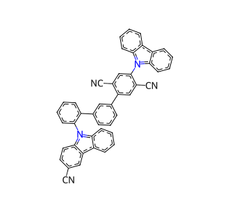 N#Cc1ccc2c(c1)c1ccccc1n2-c1ccccc1-c1cccc(-c2cc(C#N)c(-n3c4ccccc4c4ccccc43)cc2C#N)c1